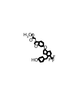 COC(=O)C[C@@H]1COc2cc(O[C@@H]3CCc4c3ccc(C(F)(F)F)c4Cc3ccc(O)cc3)ccc21